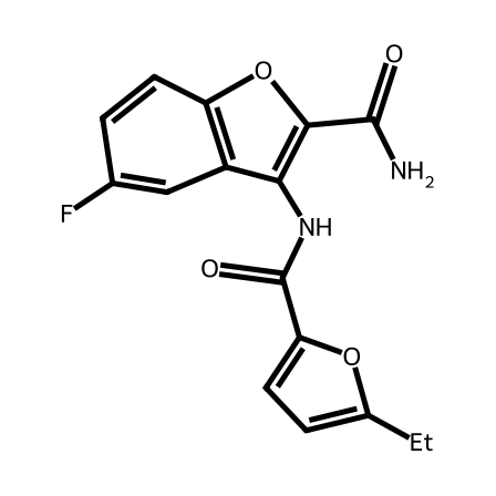 CCc1ccc(C(=O)Nc2c(C(N)=O)oc3ccc(F)cc23)o1